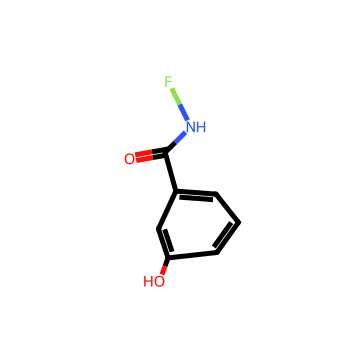 O=C(NF)c1cccc(O)c1